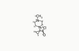 CN1CCN(C2(C(=O)Cl)CC2)CC1